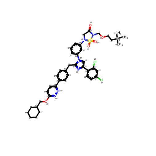 C[Si](C)(C)CCOCN1C(=O)CN(c2cccc(-n3cc(-c4ccc(Cl)cc4Cl)nc3Cc3ccc(-c4ccc(OCC5CCCCC5)nn4)cc3)c2)S1(=O)=O